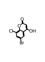 O=c1cc(O)c2cc(Br)cc(Cl)c2o1